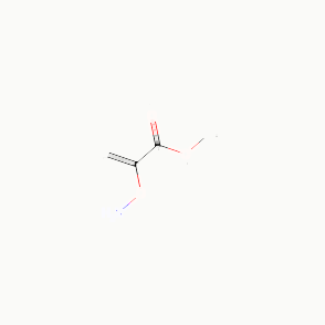 C=C(ON)C(=O)OC(C)(C)C